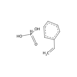 C=Cc1ccccc1.O=[PH](O)O